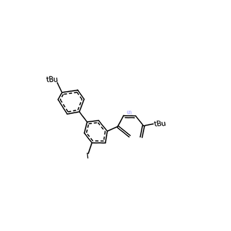 C=C(/C=C\C(=C)C(C)(C)C)c1cc(I)cc(-c2ccc(C(C)(C)C)cc2)c1